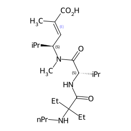 CCCNC(CC)(CC)C(=O)N[C@H](C(=O)N(C)[C@H](/C=C(\C)C(=O)O)C(C)C)C(C)C